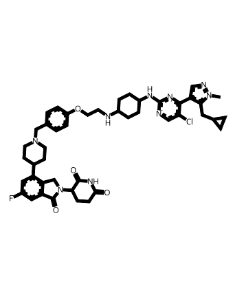 Cn1ncc(-c2nc(NC3CCC(NCCOc4ccc(CN5CCC(c6cc(F)cc7c6CN(C6CCC(=O)NC6=O)C7=O)CC5)cc4)CC3)ncc2Cl)c1CC1CC1